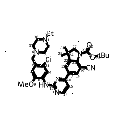 CCN1CCN(Cc2cc(OC)c(Nc3nccc(-c4cc(C#N)c5c(c4)C(C)(C)CN5C(=O)OC(C)(C)C)n3)cc2Cl)CC1